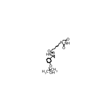 CC(C)(O)COc1cccc(C2(NS(=O)(=O)CC/C=C/CN3CC(=O)NC3=O)CC2)c1